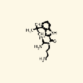 CC(C)(C)c1cccc2[nH]c(C(=O)N(CCCN)C(=N)N)cc12